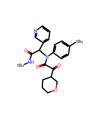 CC(C)(C)NC(=O)C(c1cccnc1)N(C(=O)C(=O)C1CCCOC1)c1ccc(C(C)(C)C)cc1